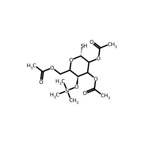 CC(=O)OCC1O[C@H](S)C(OC(C)=O)C(OC(C)=O)[C@H]1O[Si](C)(C)C